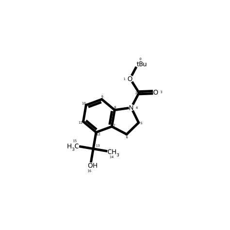 CC(C)(C)OC(=O)N1CCc2c1cccc2C(C)(C)O